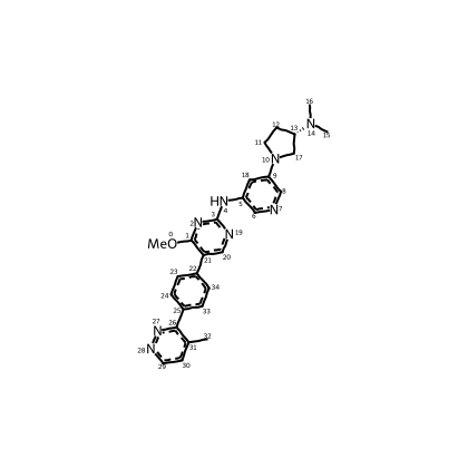 COc1nc(Nc2cncc(N3CC[C@H](N(C)C)C3)c2)ncc1-c1ccc(-c2nnccc2C)cc1